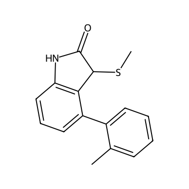 CSC1C(=O)Nc2cccc(-c3ccccc3C)c21